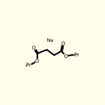 CC(C)OC(=O)CCC(=O)OC(C)C.[Na]